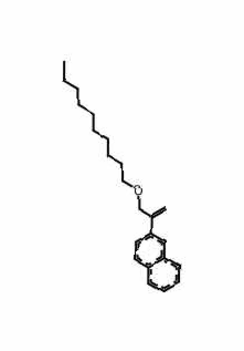 C=C(COCCCCCCCCCC)c1ccc2ccccc2c1